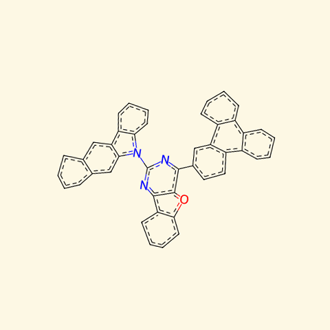 c1ccc2cc3c(cc2c1)c1ccccc1n3-c1nc(-c2ccc3c4ccccc4c4ccccc4c3c2)c2oc3ccccc3c2n1